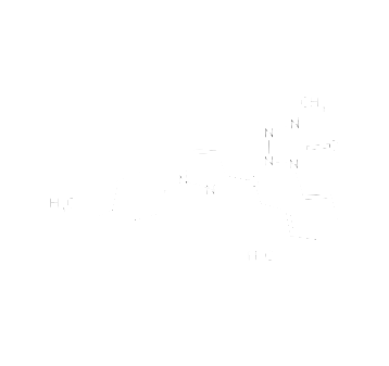 CCc1ccc(-n2ccc(OCc3c(C)cccc3-n3nnn(C)c3=O)n2)cc1